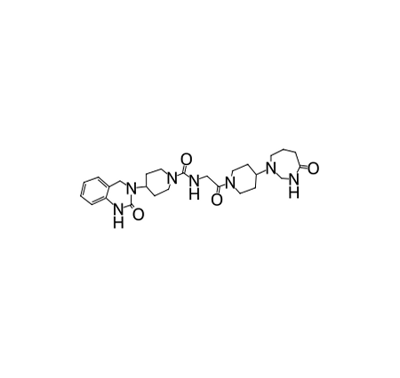 O=C1CCCN(C2CCN(C(=O)CNC(=O)N3CCC(N4Cc5ccccc5NC4=O)CC3)CC2)CN1